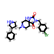 O=C1NC2(CCN(C[C@H]3CNC[C@@H]3c3ccccc3)CC2)C(=O)N1Cc1ccc(Br)cc1